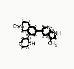 CCN1CCc2cc(-c3cnc4[nH]cc(C)c4c3)cc([C@@H]3COCCN3)c2C1